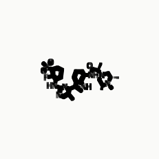 Cc1cnc(Nc2cccc(S(C)(=O)=O)c2F)nc1-c1c[nH]c2c(NC(=O)[C@@H](C)N3C[C@H](C)N(C)[C@@H](C)C3)cccc12